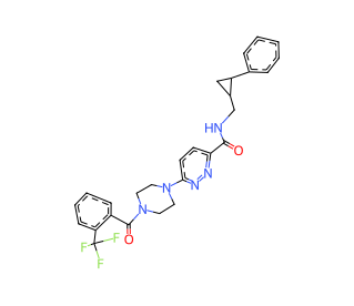 O=C(NCC1CC1c1ccccc1)c1ccc(N2CCN(C(=O)c3ccccc3C(F)(F)F)CC2)nn1